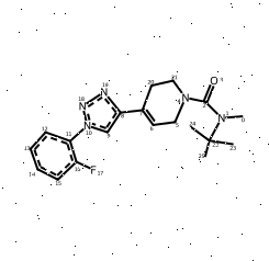 CN(C(=O)N1CC=C(c2cn(-c3ccccc3F)nn2)CC1)C(C)(C)C